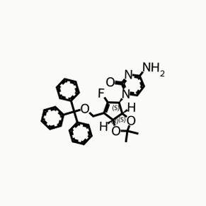 CC1(C)O[C@@H]2[C@H](O1)C(COC(c1ccccc1)(c1ccccc1)c1ccccc1)=C(F)[C@H]2n1ccc(N)nc1=O